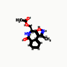 CC(=O)OC[C@@H]1NC(=O)c2ccccc2-c2c(C)noc21